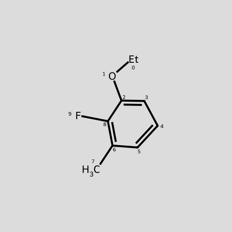 CCOc1cccc(C)c1F